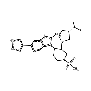 CS(=O)(=O)N1CCC(n2c(N)n[n+]3cc(-c4cn[nH]c4)ncc23)C(N2CC[C@H](C(F)F)C2)C1